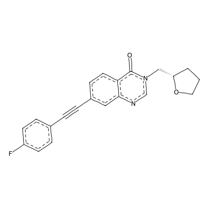 O=c1c2ccc(C#Cc3ccc(F)cc3)cc2ncn1C[C@@H]1CCCO1